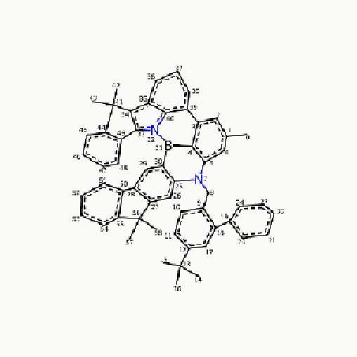 Cc1cc2c3c(c1)N(Cc1ccc(C(C)(C)C)cc1-c1ccccc1)c1cc4c(cc1B3n1c3c(c5cccc-2c51)C(C)(C)c1ccccc1-3)-c1ccccc1C4(C)C